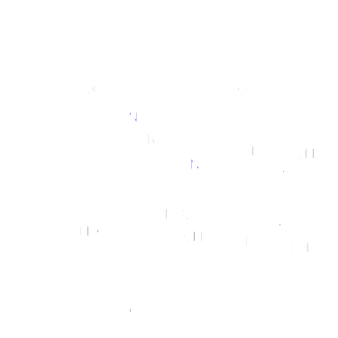 Cc1cc(C)c(-c2cc3c4c(c2)N(c2cc5c(cc2C)C(C)(C)CCC5(C)C)c2cc5oc6ccccc6c5cc2B4N2c4ccccc4[Si](c4ccccc4)(c4ccccc4)c4cccc-3c42)c(C)c1